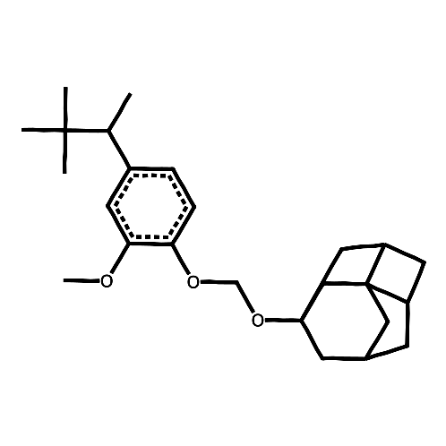 COc1cc(C(C)C(C)(C)C)ccc1OCOC12CC3CC4CC(C1)C4(C3)C2